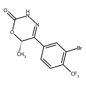 C[C@@H]1OC(=O)NN=C1c1ccc(C(F)(F)F)c(Br)c1